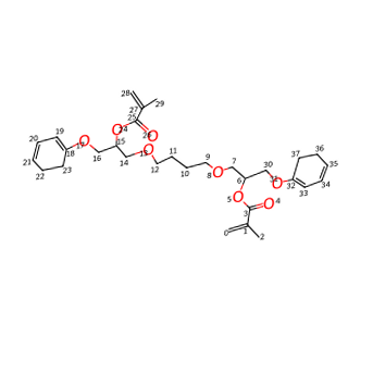 C=C(C)C(=O)OC(COCCCCOCC(COC1=CC=CCC1)OC(=O)C(=C)C)COC1=CC=CCC1